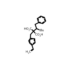 C=Cc1ccc(CC(C(=O)O)(C(=O)O)C(Cc2ccccc2)C(C)(C)C)cc1